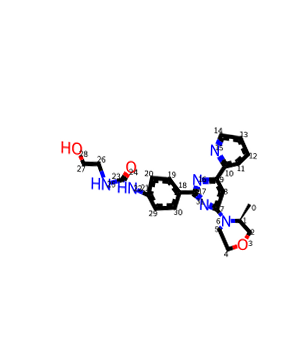 C[C@H]1COCCN1c1cc(-c2ccccn2)nc(-c2ccc(NC(=O)NCCO)cc2)n1